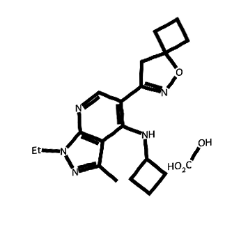 CCn1nc(C)c2c(NC3CCC3)c(C3=NOC4(CCC4)C3)cnc21.O=C(O)O